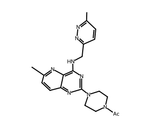 CC(=O)N1CCN(c2nc(NCc3ccc(C)nn3)c3nc(C)ccc3n2)CC1